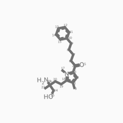 Cc1cc(C(=O)CCCCc2ccccc2)n(C)c1CCC(C)(N)CO